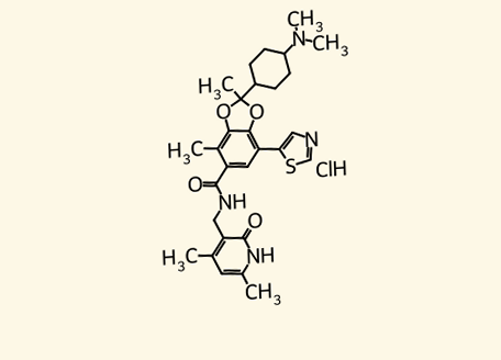 Cc1cc(C)c(CNC(=O)c2cc(-c3cncs3)c3c(c2C)OC(C)(C2CCC(N(C)C)CC2)O3)c(=O)[nH]1.Cl